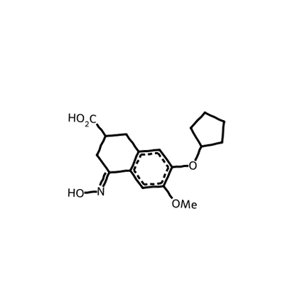 COc1cc2c(cc1OC1CCCC1)CC(C(=O)O)CC2=NO